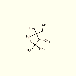 CC(C(C)(N)O)C(C)(N)CO